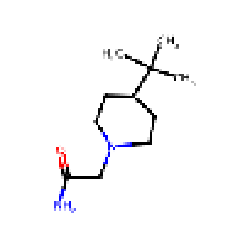 CC(C)(C)C1CCN(CC(N)=O)CC1